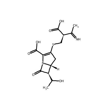 CC(=N)[C@@H](CSC1=C(C(=O)O)N2C(=O)[C@H](C(C)O)[C@H]2C1)C(=O)O